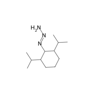 CC(C)C1CCCC(C(C)C)C1N=NN